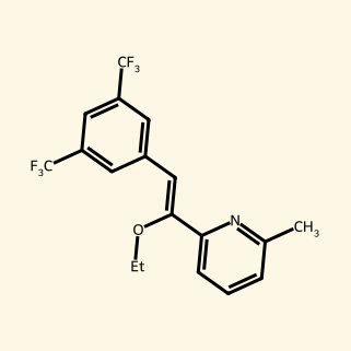 CCOC(=Cc1cc(C(F)(F)F)cc(C(F)(F)F)c1)c1cccc(C)n1